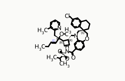 CC/C=C/[C@](Cc1ncccc1C)(OC)[C@@H]1CC[C@H]1CN1C[C@@]2(CCCc3cc(Cl)ccc32)COc2ccc(C(=O)NS(=O)(=O)C(C)C)cc21